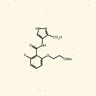 COCCOc1cccc(F)c1C(=O)Nc1c[nH]nc1C(=O)O